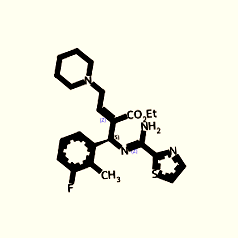 CCOC(=O)/C(=C\CN1CCCCC1)[C@@H](/N=C(\N)c1nccs1)c1cccc(F)c1C